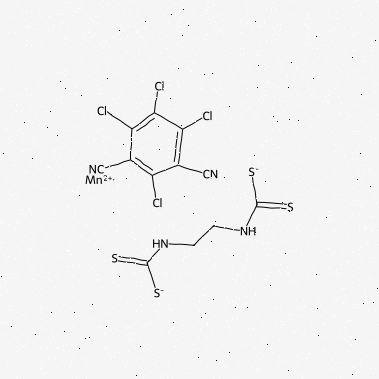 N#Cc1c(Cl)c(Cl)c(Cl)c(C#N)c1Cl.S=C([S-])NCCNC(=S)[S-].[Mn+2]